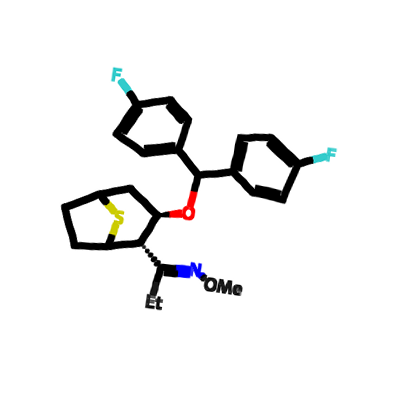 CCC(=NOC)[C@@H]1C2CCC(C[C@H]1OC(c1ccc(F)cc1)c1ccc(F)cc1)S2